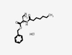 CCCCCCC(=O)N[C@H](CN)C(=O)OCc1ccccc1.Cl